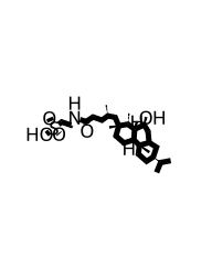 CC(C)[C@@H]1CC[C@@]2(C)C(C1)C[C@H](O)[C@H]1[C@@H](C)[C@@](C)(C[C@@H](C)CCC(=O)NCCS(=O)(=O)O)CC[C@H]12